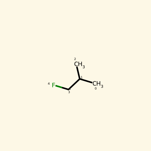 CC(C)[CH]F